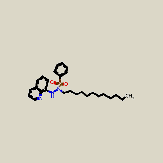 CCCCCCCCCCCCN(Nc1cccc2cccnc12)S(=O)(=O)c1ccccc1